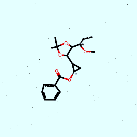 CC[C@@H](OC)C1OC(C)(C)OC1C1C[C@H]1OC(=O)c1ccccc1